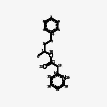 CC(CCc1ccccc1)OC(=O)Cc1ccccn1